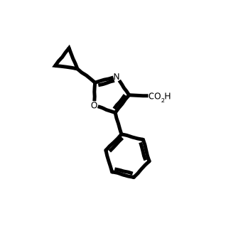 O=C(O)c1nc(C2CC2)oc1-c1ccccc1